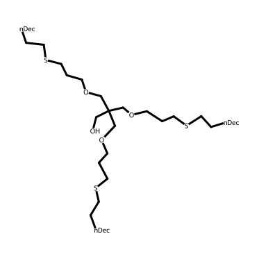 CCCCCCCCCCCCSCCCOCC(CO)(COCCCSCCCCCCCCCCCC)COCCCSCCCCCCCCCCCC